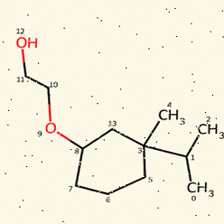 CC(C)C1(C)CCCC(OCCO)C1